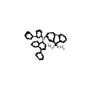 CC1(C)c2ccccc2-c2ccc(N(c3cccc(-c4c#cccc4)c3)c3ccc(-c4ccccc4)c4ccccc34)cc21